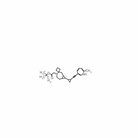 CC1=CC=CC(C#CC2CC2C2C3CCN(CC(=O)OC(C)(C)C)C4(CCC4)CC32)=CN1